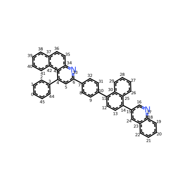 c1ccc(-c2cc(-c3ccc(-c4ccc(-c5cnc6ccccc6c5)c5ccccc45)cc3)nc3ccc4ccccc4c23)cc1